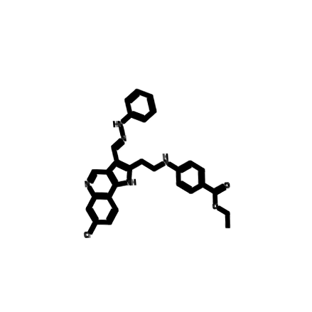 CCOC(=O)c1ccc(NCCc2[nH]c3c(cnc4cc(Cl)ccc43)c2/C=N/Nc2ccccc2)cc1